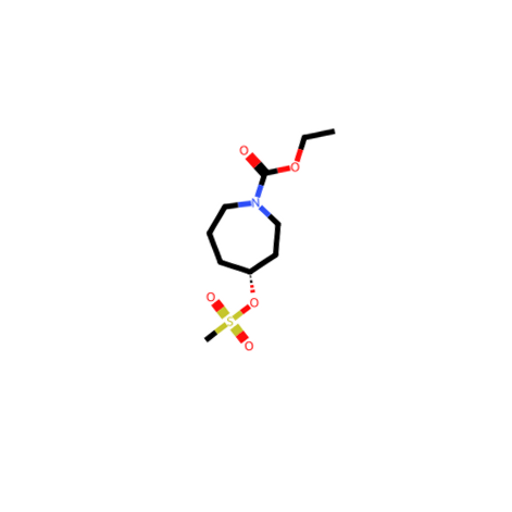 CCOC(=O)N1CCC[C@@H](OS(C)(=O)=O)CC1